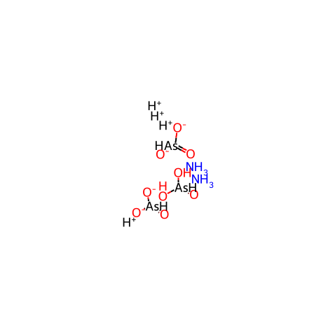 N.N.O=[AsH](O)O.O=[AsH]([O-])[O-].O=[AsH]([O-])[O-].[H+].[H+].[H+].[H+]